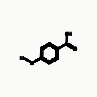 CCOc1ccc(S(=O)O)cc1